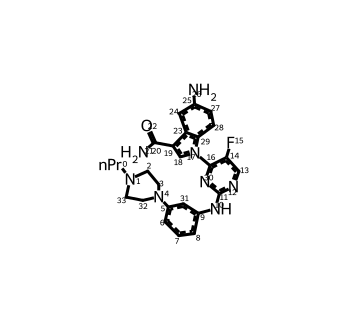 CCCN1CCN(c2cccc(Nc3ncc(F)c(-n4cc(C(N)=O)c5cc(N)ccc54)n3)c2)CC1